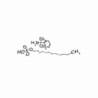 CC(C)(N)c1ccccc1.CCCCCCCCCCCCOS(=O)(=O)O